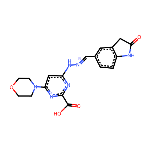 O=C1Cc2cc(/C=N/Nc3cc(N4CCOCC4)nc(C(=O)O)n3)ccc2N1